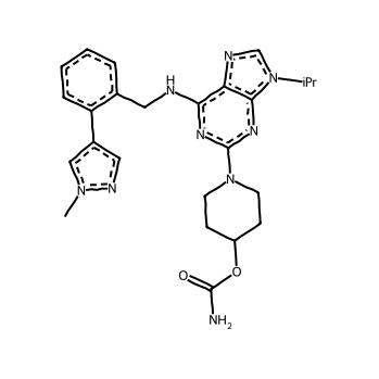 CC(C)n1cnc2c(NCc3ccccc3-c3cnn(C)c3)nc(N3CCC(OC(N)=O)CC3)nc21